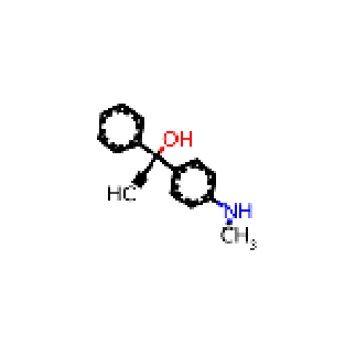 C#CC(O)(c1ccccc1)c1ccc(NC)cc1